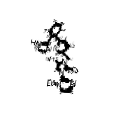 CCCc1cn(-c2nccn2CC)c(=O)n1Cc1ccc(-c2ccccc2-c2nnn[nH]2)nc1